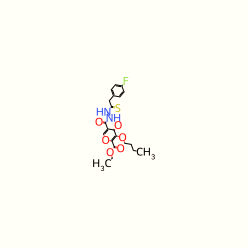 CCCCOc1c(C(=O)OCC)occ(C(=O)NNC(=S)Cc2ccc(F)cc2)c1=O